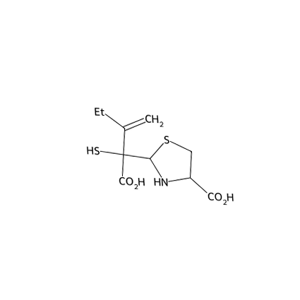 C=C(CC)C(S)(C(=O)O)C1NC(C(=O)O)CS1